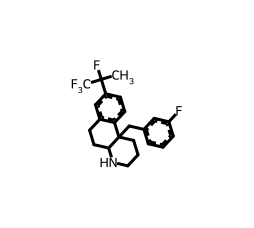 CC(F)(c1ccc2c(c1)CCC1NCCCC21Cc1cccc(F)c1)C(F)(F)F